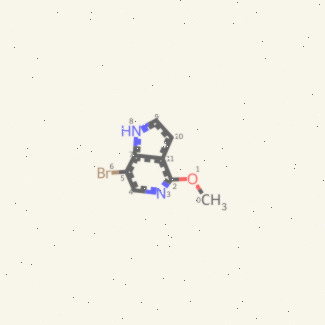 COc1ncc(Br)c2[nH]ccc12